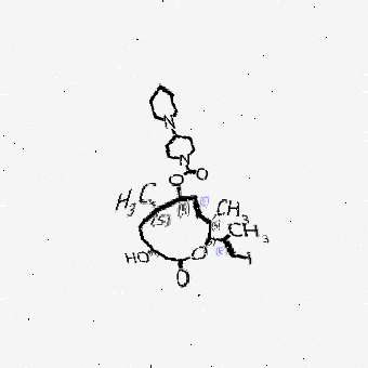 C/C(=C\I)[C@H]1OC(=O)C[C@H](O)CC[C@H](C)[C@@H](OC(=O)N2CCC(N3CCCCC3)CC2)/C=C/[C@@H]1C